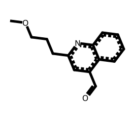 COCCCc1cc(C=O)c2ccccc2n1